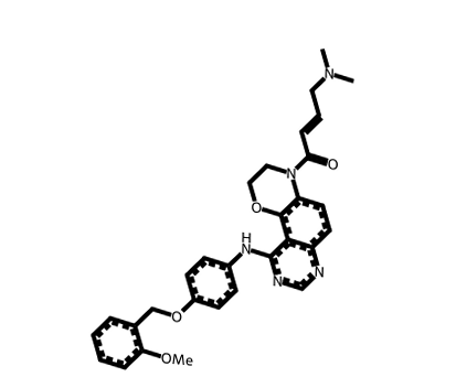 COc1ccccc1COc1ccc(Nc2ncnc3ccc4c(c23)OCCN4C(=O)/C=C/CN(C)C)cc1